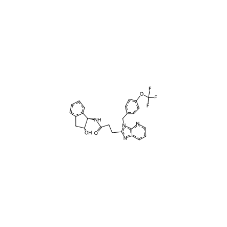 O=C(CCc1nc2cccnc2n1Cc1ccc(OC(F)(F)F)cc1)N[C@@H]1c2ccccc2C[C@@H]1O